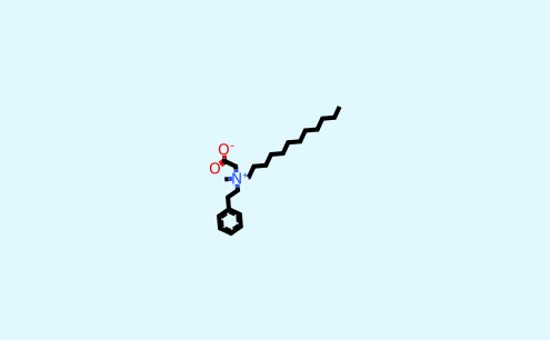 CCCCCCCCCCCC[N+](C)(CCc1ccccc1)CC(=O)[O-]